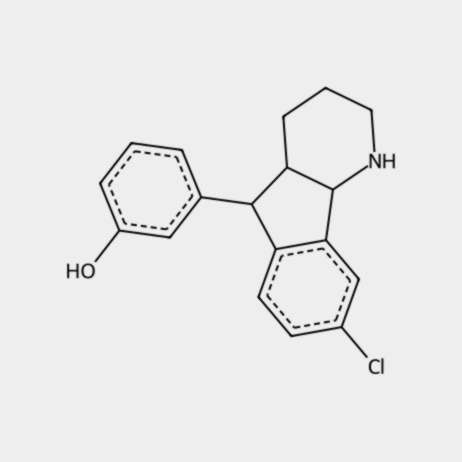 Oc1cccc(C2c3ccc(Cl)cc3C3NCCCC32)c1